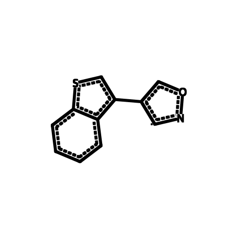 [c]1nocc1-c1csc2ccccc12